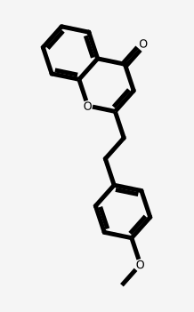 COc1ccc(CCc2cc(=O)c3ccccc3o2)cc1